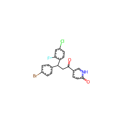 O=C(CC(c1ccc(Br)cc1)c1ccc(Cl)cc1F)c1ccc(=O)[nH]c1